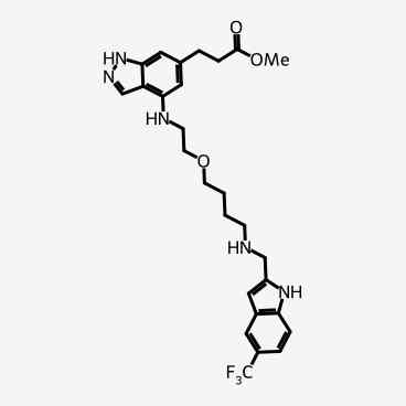 COC(=O)CCc1cc(NCCOCCCCNCc2cc3cc(C(F)(F)F)ccc3[nH]2)c2cn[nH]c2c1